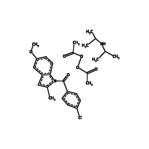 CC(=O)OOC(C)=O.CC(C)NC(C)C.COc1ccc2c(c1)cc(C)n2C(=O)c1ccc(Cl)cc1